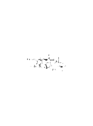 COc1ccc2c(c1)C(CC(=O)NC1CCN(C)C1)=C(C)/C2=C/c1cc(OC)c(N)c(OC)c1